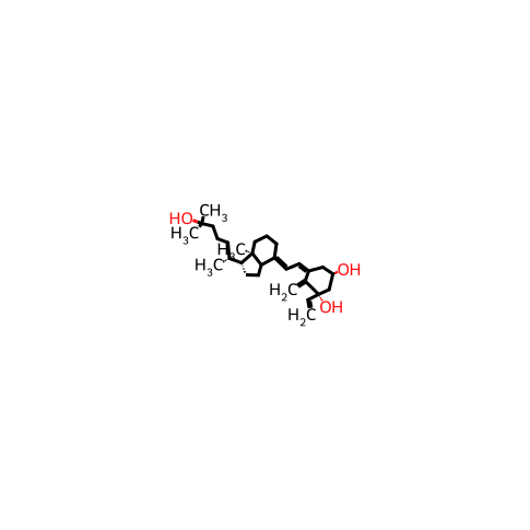 C=C[C@]1(O)C[C@H](O)C/C(=C/C=C2CCC[C@@]3(C)C2CC[C@@H]3[C@H](C)CCCC(C)(C)O)C1=C